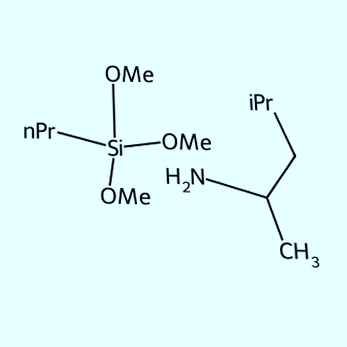 CC(C)CC(C)N.CCC[Si](OC)(OC)OC